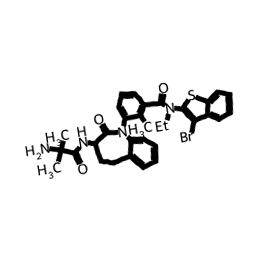 CCN(C(=O)c1cccc(N2C(=O)C(NC(=O)C(C)(C)N)CCc3ccccc32)c1C)c1sc2ccccc2c1Br